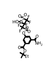 CCC(C)(C)OC(=O)c1cc(OS(=O)(=O)C(F)(F)C(F)(F)C(F)(F)S(=O)(=O)OO)cc(C(N)=O)c1